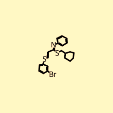 Brc1cccc(SC=CC(=Nc2ccccc2)SCC2CCCCC2)c1